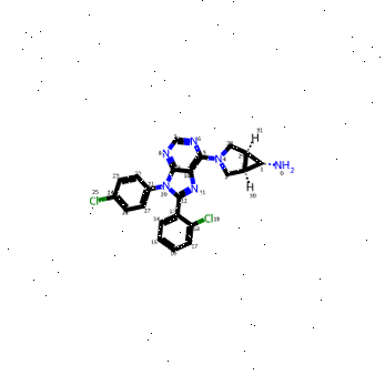 N[C@@H]1[C@H]2CN(c3ncnc4c3nc(-c3ccccc3Cl)n4-c3ccc(Cl)cc3)C[C@@H]12